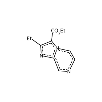 CCOC(=O)c1c(CC)nc2cnccn12